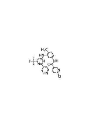 Cc1ccc(NC(=O)c2ccc(Cl)nc2)cc1Nc1cc(C(F)(F)F)nc(-c2ccncc2)n1